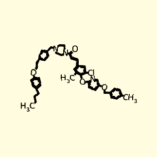 CCCCc1ccc(OCCc2ccc(CN3CCN(C(=O)C=Cc4cc(C)c(Oc5ccc(OCc6ccc(C)cc6)cn5)c(Cl)c4)CC3)cc2)cc1